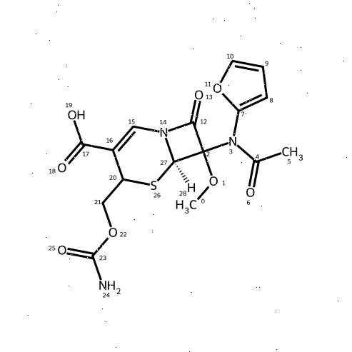 COC1(N(C(C)=O)c2ccco2)C(=O)N2C=C(C(=O)O)C(COC(N)=O)S[C@@H]21